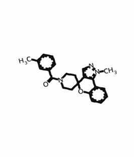 Cc1cccc(C(=O)N2CCC3(CC2)Oc2ccccc2-c2c3cnn2C)c1